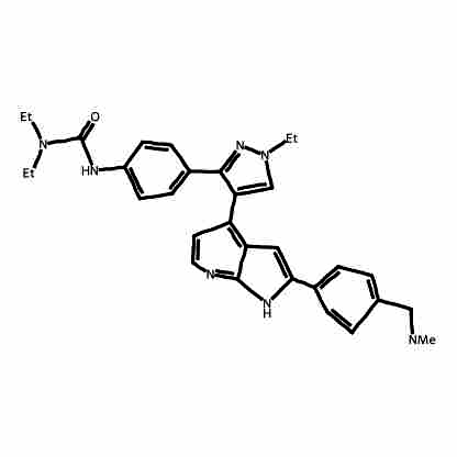 CCN(CC)C(=O)Nc1ccc(-c2nn(CC)cc2-c2ccnc3[nH]c(-c4ccc(CNC)cc4)cc23)cc1